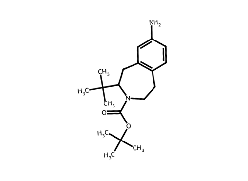 CC(C)(C)OC(=O)N1CCc2ccc(N)cc2CC1C(C)(C)C